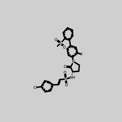 CS(=O)(=O)c1ccccc1-c1ccc(N2CC[C@H](NS(=O)(=O)/C=C/c3ccc(Cl)cc3)C2=O)c(F)c1